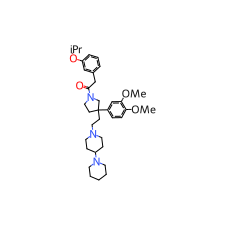 COc1ccc(C2(CCN3CCC(N4CCCCC4)CC3)CCN(C(=O)Cc3cccc(OC(C)C)c3)C2)cc1OC